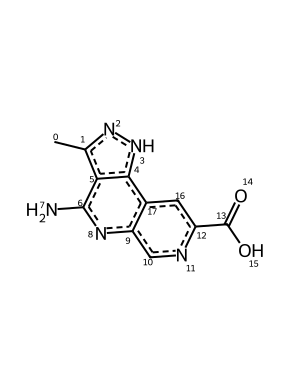 Cc1n[nH]c2c1c(N)nc1cnc(C(=O)O)cc12